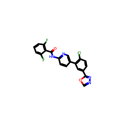 O=C(Nc1ccc(-c2cc(-c3nnco3)ccc2Cl)cn1)c1c(F)cccc1F